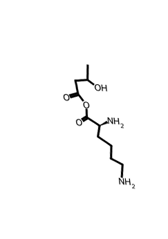 CC(O)CC(=O)OC(=O)[C@@H](N)CCCCN